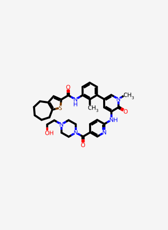 Cc1c(NC(=O)c2cc3c(s2)CCCCC3)cccc1-c1cc(Nc2ccc(C(=O)N3CCN(CCO)CC3)cn2)c(=O)n(C)c1